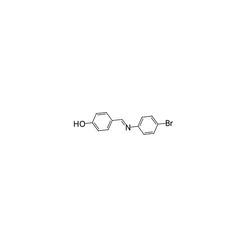 Oc1ccc(/C=N/c2ccc(Br)cc2)cc1